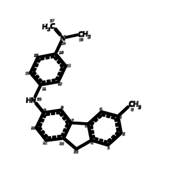 Cc1ccc2c(c1)-c1cc(Nc3ccc(N(C)C)cc3)ccc1C2